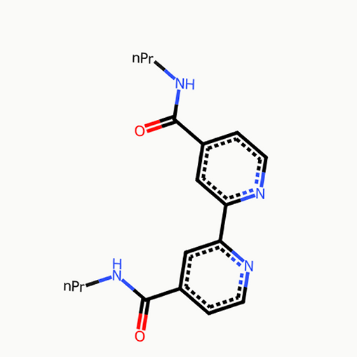 CCCNC(=O)c1ccnc(-c2cc(C(=O)NCCC)ccn2)c1